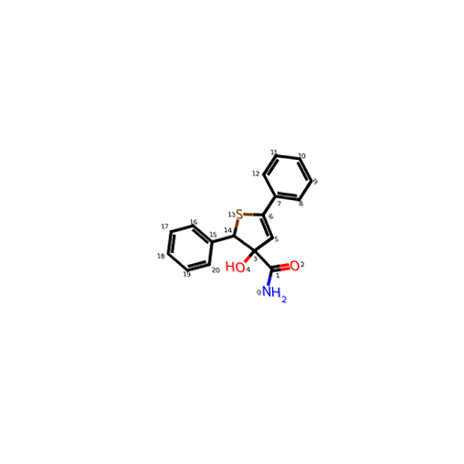 NC(=O)C1(O)C=C(c2ccccc2)SC1c1ccccc1